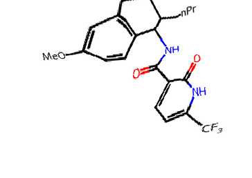 CCCC1CCc2cc(OC)ccc2C1NC(=O)c1ccc(C(F)(F)F)[nH]c1=O